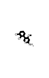 COc1cc(N)ncc1-c1cccc(Cl)c1Cl